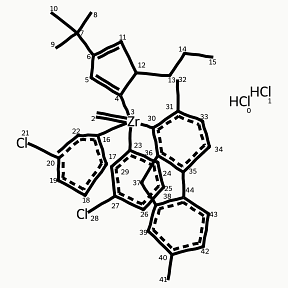 Cl.Cl.[CH2]=[Zr]([C]1=CC(C(C)(C)C)=CC1CCC)([c]1cccc(Cl)c1)([c]1cccc(Cl)c1)[c]1c(C)ccc2c1Cc1cc(C)ccc1-2